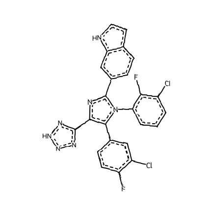 Fc1ccc(-c2c(-c3nn[nH]n3)nc(-c3ccc4cc[nH]c4c3)n2-c2cccc(Cl)c2F)cc1Cl